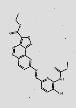 CCOC(=O)c1snc2c1nnc1ccc(/N=N/c3ccc(O)c(NC(=O)CC)n3)cc12